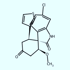 CO[C@H]1CC(=O)C[C@@H](c2ccsc2)[C@]12C(=O)Nc1cc(Cl)ccc12